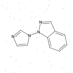 c1ccc2c(c1)cnn2-n1ccnc1